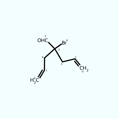 C=CCC(Br)(C=O)CC=C